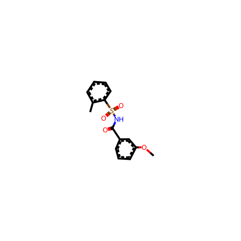 COc1cccc(C(=O)NS(=O)(=O)c2ccccc2C)c1